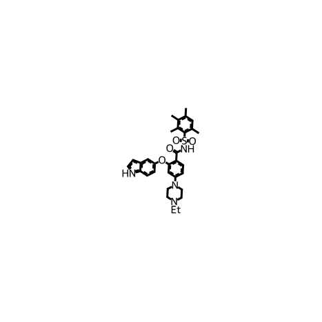 CCN1CCN(c2ccc(C(=O)NS(=O)(=O)c3c(C)cc(C)c(C)c3C)c(Oc3ccc4[nH]ccc4c3)c2)CC1